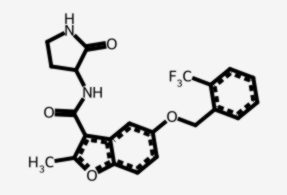 Cc1oc2ccc(OCc3ccccc3C(F)(F)F)cc2c1C(=O)NC1CCNC1=O